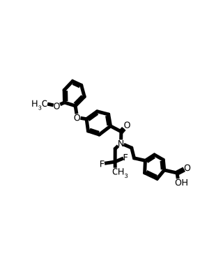 COc1ccccc1Oc1ccc(C(=O)N(CCc2ccc(C(=O)O)cc2)CC(C)(F)F)cc1